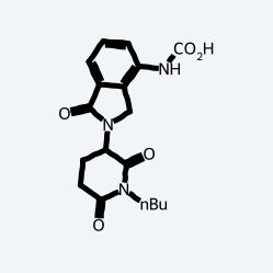 CCCCN1C(=O)CCC(N2Cc3c(NC(=O)O)cccc3C2=O)C1=O